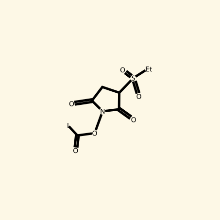 CCS(=O)(=O)C1CC(=O)N(OC(=O)I)C1=O